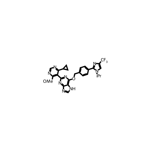 COc1ncnc(C2CC2)c1-c1nc(OCc2ccc(-c3nc(C(F)(F)F)cn3C(C)C)cc2)c2[nH]cnc2n1